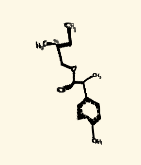 CC[C@H](C)COC(=O)C(C)c1ccc(O)cc1